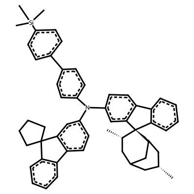 C[C@@H]1CC2CC(C1)[C@@]1(c3ccccc3-c3ccc(N(c4ccc(-c5ccc([Si](C)(C)C)cc5)cc4)c4ccc5c(c4)C4(CCCC4)c4ccccc4-5)cc31)[C@@H](C)C2